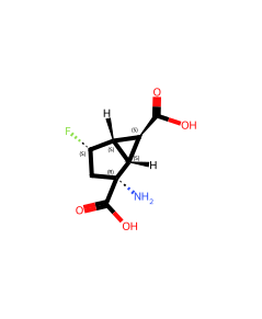 N[C@]1(C(=O)O)C[C@H](F)[C@@H]2[C@@H](C(=O)O)[C@@H]21